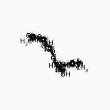 Cc1ncsc1-c1ccc(CNC(=O)[C@@H]2C[C@@H](O)CN2C(=O)[C@@H](NC(=O)CCOCCOc2ccc(C(=O)Nc3ccc4oc(-c5ccc(=O)n(C)n5)nc4c3)nc2)C(C)(C)C)cc1